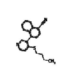 CCCCSc1ccncc1-c1ccc(C#N)c2ccccc12